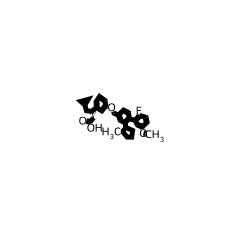 COc1ccc(F)c(-c2ccc(COc3cccc([C@H](CC(=O)O)CC4CC4)c3)cc2C2CCCC2C)c1